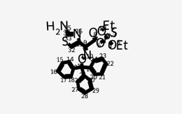 CCOP(=S)(OCC)OC(=O)C(=NOC(c1ccccc1)(c1ccccc1)c1ccccc1)c1csc(N)n1